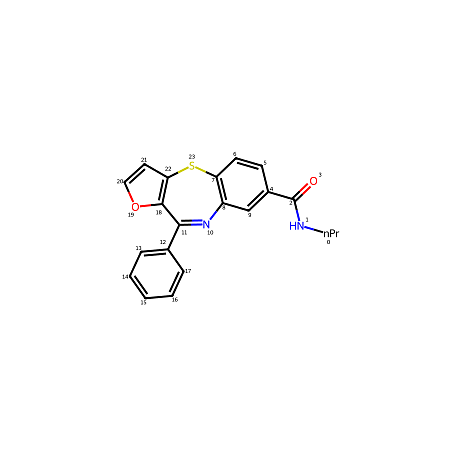 CCCNC(=O)c1ccc2c(c1)N=C(c1ccccc1)c1occc1S2